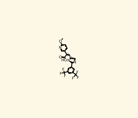 COc1ccc(/C(=C/n2cnc(-c3cc(C(F)(F)F)cc(C(F)(F)F)c3)n2)C(=O)O)cn1